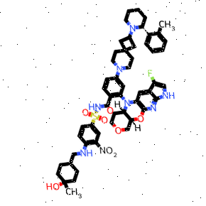 Cc1ccccc1[C@H]1CCCCN1C1CC2(CCN(c3ccc(C(=O)NS(=O)(=O)c4ccc(NCC5CCC(C)(O)CC5)c([N+](=O)[O-])c4)c(N4c5cc6c(F)c[nH]c6nc5O[C@H]5COCC[C@@H]54)c3)CC2)C1